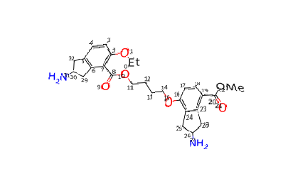 CCOc1ccc2c(c1C(=O)OCCCCOc1ccc(C(=O)OC)c3c1CC(N)C3)CC(N)C2